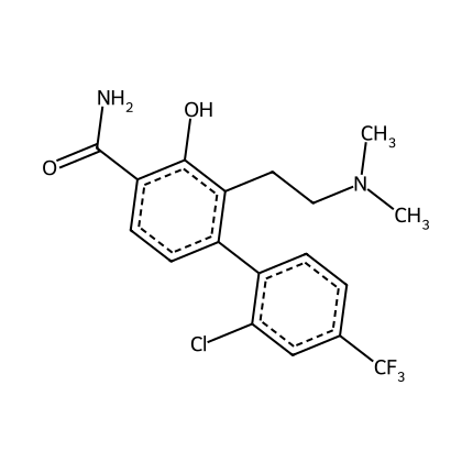 CN(C)CCc1c(-c2ccc(C(F)(F)F)cc2Cl)ccc(C(N)=O)c1O